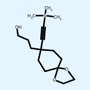 C[Si](C)(C)C#CC1(CCCO)CCC2(CC1)OCCO2